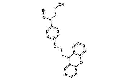 CCOC(CCO)c1ccc(OCCN2c3ccccc3Oc3ccccc32)cc1